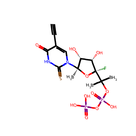 BC(B)(OP(=O)(O)OP(=O)(O)O)[C@@]1(F)O[C@@](B)(n2cc(C#C)c(=O)[nH]c2=S)[C@H](O)[C@@H]1O